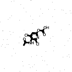 CC(=O)Nc1c(Cl)cc(OC(=O)O)nc1Cl